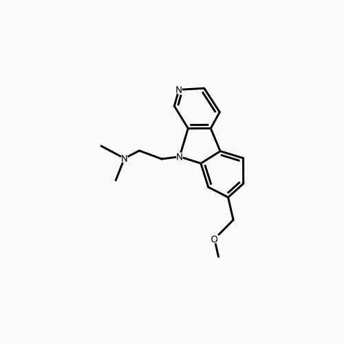 COCc1ccc2c3ccncc3n(CCN(C)C)c2c1